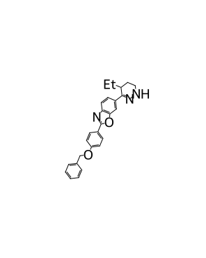 CCC1CCNN=C1c1ccc2nc(-c3ccc(OCc4ccccc4)cc3)oc2c1